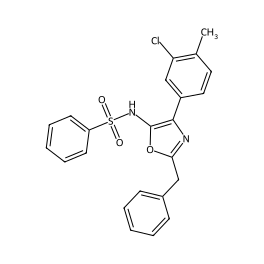 Cc1ccc(-c2nc(Cc3ccccc3)oc2NS(=O)(=O)c2ccccc2)cc1Cl